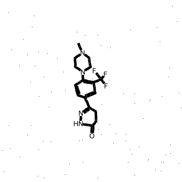 CN1CCN(c2ccc(C3=NNC(=O)CC3)cc2C(F)(F)F)CC1